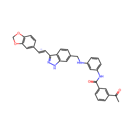 CC(=O)c1cccc(C(=O)Nc2cccc(NCc3ccc4c(/C=C/c5ccc6c(c5)OCO6)n[nH]c4c3)c2)c1